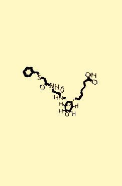 O=C(O)CCC/C=C\C[C@H]1[C@@H](CNC(=O)CNC(=O)CSCc2ccccc2)[C@@H]2O[C@H]1[C@@H]1O[C@@H]12